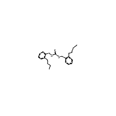 CCCCc1ccccc1CSC(=S)SCc1ccccc1CCCC